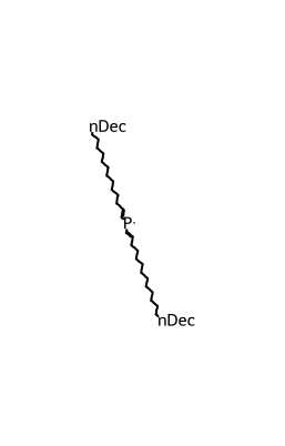 CCCCCCCCCCCCCCCCCCCCCC=C[P]C=CCCCCCCCCCCCCCCCCCCCCC